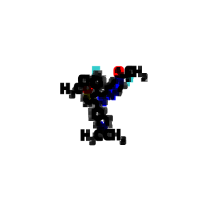 C=C(F)C(=O)N1CCn2nc(-c3nc(-c4ccc5c(c4)CCN(C(C)C)C5)c4ccsc4c3-c3ccc(F)cc3OC(C)C)cc2C1